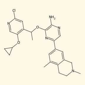 Cc1cc(-c2cnc(N)c(OC(C)c3cc(Cl)ncc3OC3CC3)n2)cc2c1CCN(C)C2